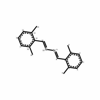 Cc1cccc(C)c1C=NN=Cc1c(C)cccc1C